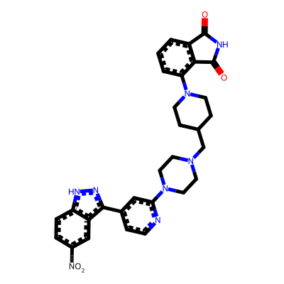 O=C1NC(=O)c2c1cccc2N1CCC(CN2CCN(c3cc(-c4n[nH]c5ccc([N+](=O)[O-])cc45)ccn3)CC2)CC1